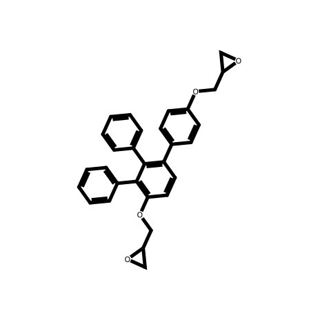 c1ccc(-c2c(OCC3CO3)ccc(-c3ccc(OCC4CO4)cc3)c2-c2ccccc2)cc1